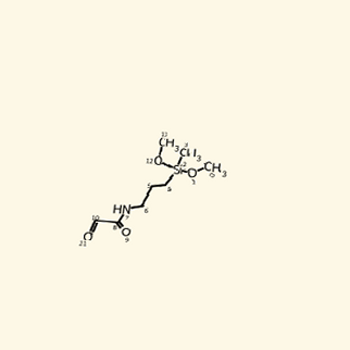 CO[Si](C)(CCCNC(=O)C=O)OC